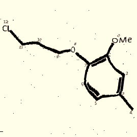 COc1cc(C)ccc1OCCCCl